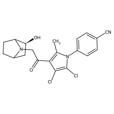 Cc1c(C(=O)CN2C3CCC2[C@@H](O)C3)c(Cl)c(Cl)n1-c1ccc(C#N)cc1